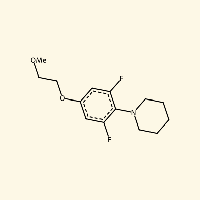 COCCOc1cc(F)c(N2CCCCC2)c(F)c1